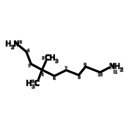 CC(C)(CCN)CCCCCN